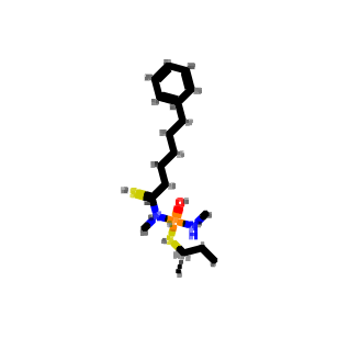 CC[C@H](C)SP(=O)(NC)N(C)C(=S)CCCCCc1ccccc1